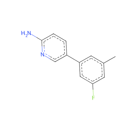 Cc1cc(F)cc(-c2ccc(N)nc2)c1